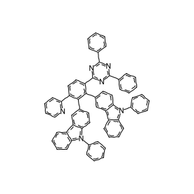 c1ccc(-c2nc(-c3ccccc3)nc(-c3ccc(-c4ccccn4)c(-c4ccc5c(c4)c4ccccc4n5-c4ccccc4)c3-c3ccc4c(c3)c3ccccc3n4-c3ccccc3)n2)cc1